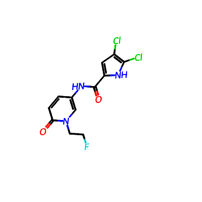 O=C(Nc1ccc(=O)n(CCF)c1)c1cc(Cl)c(Cl)[nH]1